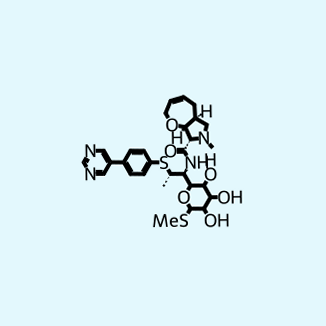 CSC1OC([C@H](NC(=O)[C@@H]2[C@@H]3OCC=CC[C@H]3CN2C)[C@H](C)Sc2ccc(-c3cncnc3)cc2)C(O)C(O)C1O